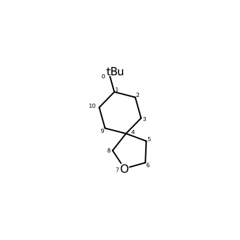 CC(C)(C)C1CCC2(CCOC2)CC1